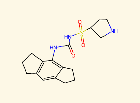 O=C(Nc1c2c(cc3c1CCC3)CCC2)NS(=O)(=O)C1CCNC1